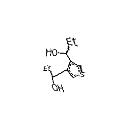 CCC(O)c1cscc1C(O)CC